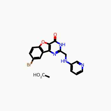 CC(=O)O.O=c1[nH]c(CNc2cccnc2)nc2c1oc1ccc(Br)cc12